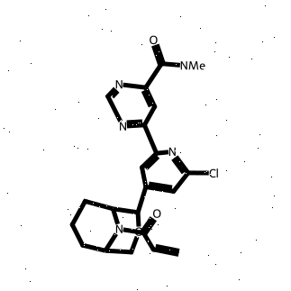 C=CC(=O)N1C2CCCC1C(c1cc(Cl)nc(-c3cc(C(=O)NC)ncn3)c1)OC2